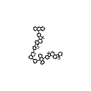 CC1(C)c2cc(-c3c4ccccc4cc4ccccc34)ccc2-c2c1ccc1c2ccc2c3ccc(C4=Cc5cccc(-c6cccc(-c7c8ccccc8c(-c8ccc9c(c8)C(C)(C)c8ccc%10c(ccc%11sc%12c(c%11%10)CCC=C%12)c8-9)c8ccccc78)c6)c5CC4)cc3sc12